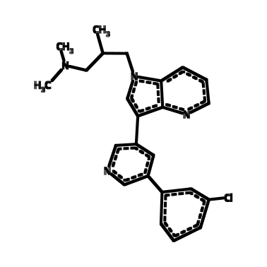 CC(CN(C)C)Cn1cc(-c2cncc(-c3cccc(Cl)c3)c2)c2ncccc21